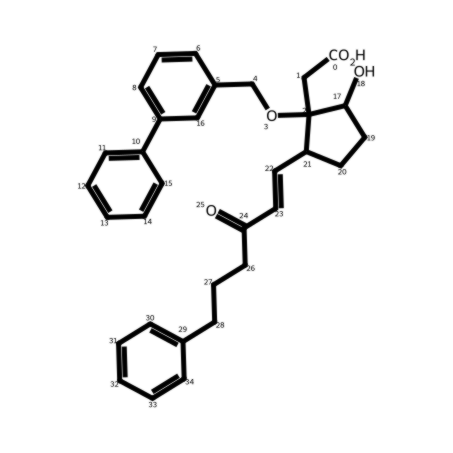 O=C(O)CC1(OCc2cccc(-c3ccccc3)c2)C(O)CCC1C=CC(=O)CCCc1ccccc1